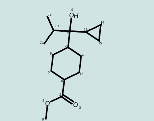 COC(=O)C1CCC(C(O)(C(C)C)C2CC2)CC1